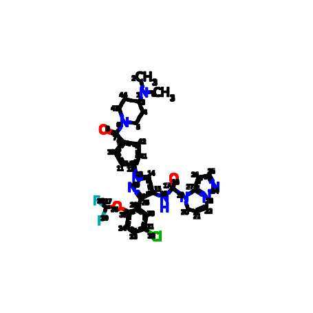 CN(C)C1CCN(C(=O)c2ccc(-n3cc(NC(=O)N4CC=Cn5nccc54)c(-c4cc(Cl)ccc4OC(F)F)n3)cc2)CC1